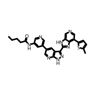 CCCCC(=O)Nc1cncc(-c2cnc3[nH]nc(-c4nc5c(-c6ccc(C)s6)cncc5[nH]4)c3c2)c1